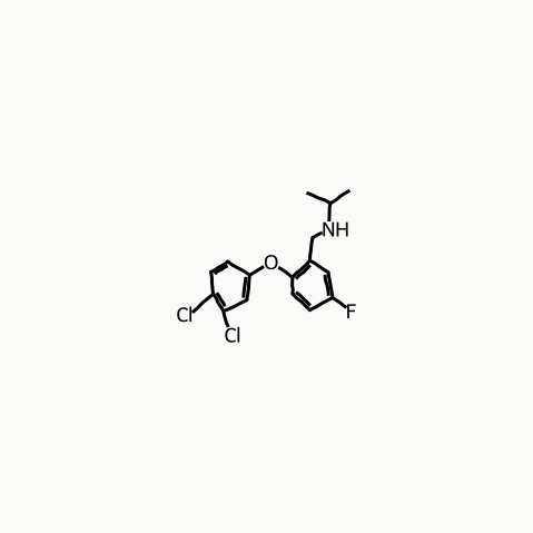 CC(C)NCc1cc(F)ccc1Oc1ccc(Cl)c(Cl)c1